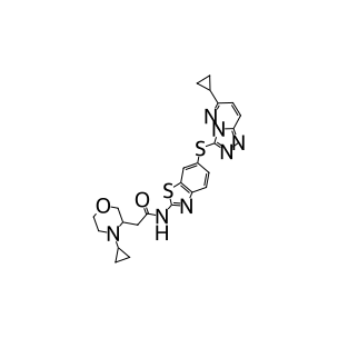 O=C(CC1COCCN1C1CC1)Nc1nc2ccc(Sc3nnc4ccc(C5CC5)nn34)cc2s1